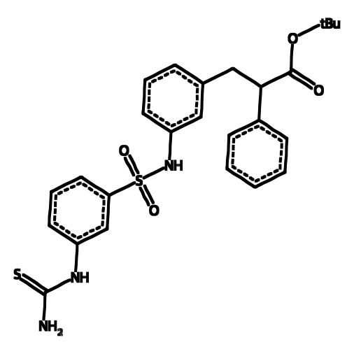 CC(C)(C)OC(=O)C(Cc1cccc(NS(=O)(=O)c2cccc(NC(N)=S)c2)c1)c1ccccc1